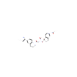 CN/C=C(\C=N)c1ccc2c(c1)CCCN2C(=O)CN1C(=O)OC2(CCc3cc(NC(=O)NC)ccc32)C1=O